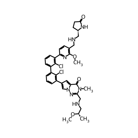 COc1nc(-c2cccc(-c3cccc(-c4cc5c(=O)n(C)c(CNC[C@@H](C)OC)nn5c4)c3Cl)c2Cl)ccc1CNC[C@H]1CCC(=O)N1